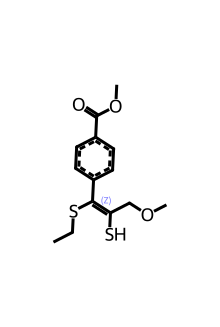 CCS/C(=C(\S)COC)c1ccc(C(=O)OC)cc1